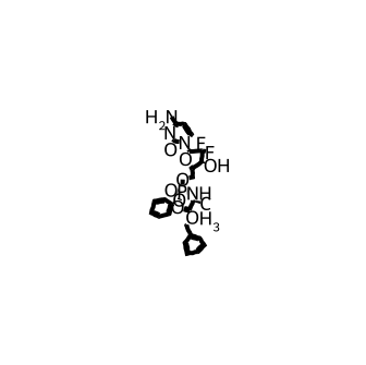 C[C@H](NP(=O)(OCC1OC(n2ccc(N)nc2=O)C(F)(F)[C@@H]1O)Oc1ccccc1)C(=O)OCc1ccccc1